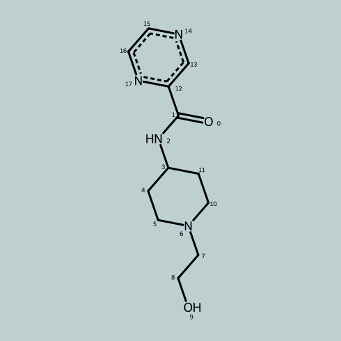 O=C(NC1CCN(CCO)CC1)c1cnccn1